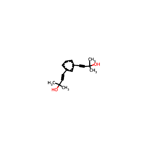 CC(C)(O)C#Cc1cccc(C#CC(C)(C)O)c1